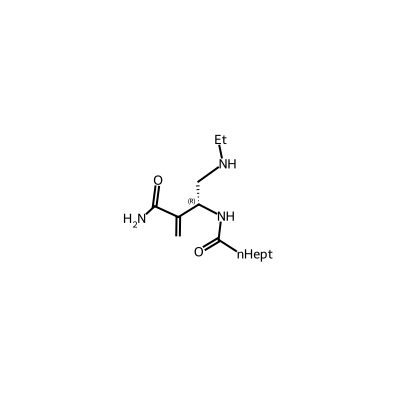 C=C(C(N)=O)[C@H](CNCC)NC(=O)CCCCCCC